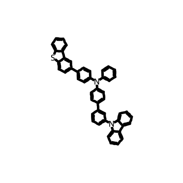 c1ccc(N(c2ccc(-c3cccc(-n4c5ccccc5c5ccccc54)c3)cc2)c2ccc(-c3ccc4sc5ccccc5c4c3)cc2)cc1